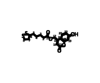 O=C(CCCCC1CCSS1)OCc1cc(=O)oc2cc(O)ccc12